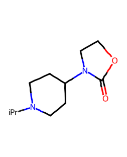 CC(C)N1CCC(N2CCOC2=O)CC1